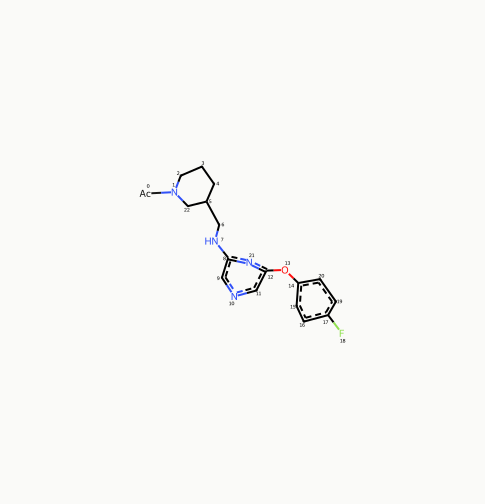 CC(=O)N1CCCC(CNc2cncc(Oc3ccc(F)cc3)n2)C1